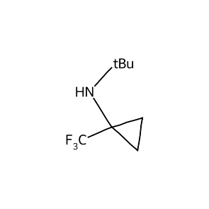 CC(C)(C)NC1(C(F)(F)F)CC1